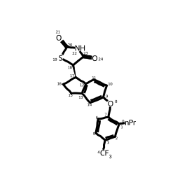 CCCc1cc(C(F)(F)F)ccc1Oc1ccc2c(c1)CC[C@H]2C1SC(=O)NC1=O